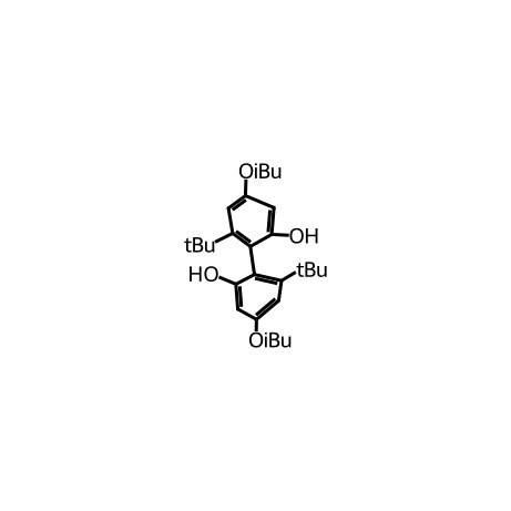 CC(C)COc1cc(O)c(-c2c(O)cc(OCC(C)C)cc2C(C)(C)C)c(C(C)(C)C)c1